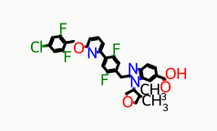 CC1(C)COCC1n1c(Cc2cc(F)c(-c3cccc(OCc4c(F)cc(Cl)cc4F)n3)cc2F)nc2ccc(C(=O)O)cc21